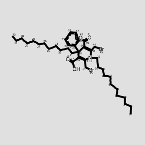 CCCCCCCCCCCCN1C(CBr)=C(C(=O)O)C(CCCCCCCCCCCC)(c2ccccc2)C(C(=O)O)=C1CBr